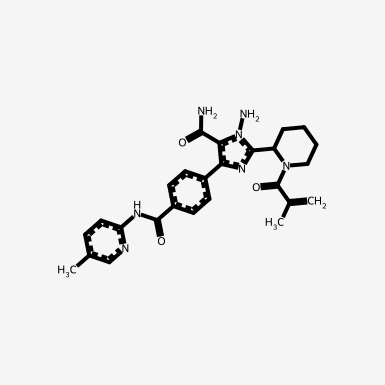 C=C(C)C(=O)N1CCCCC1c1nc(-c2ccc(C(=O)Nc3ccc(C)cn3)cc2)c(C(N)=O)n1N